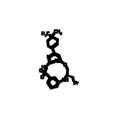 CC(C)C[C@@H]1COc2cc(C3=CCC(C)(C)CC3)nc(n2)NS(=O)(=O)c2cccc(c2)N1